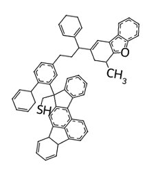 CC1CC(C(CCc2ccc(C3C=CC=CC3)c(C3(CS)c4ccccc4-c4c3cc3c5c(cccc45)C4C=CC=CC34)c2)C2=CCCC=C2)=Cc2c1oc1ccccc21